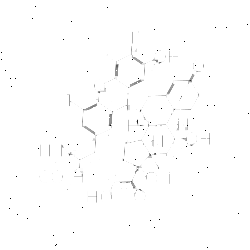 C[C@]12CCC(=O)C=C1CC[C@@H]1[C@@H]2[C@@H](O)C[C@@]2(C)[C@H]1CC[C@]2(O)C(=O)CO.N[C@@H](Cc1cc(I)c(Oc2ccc(O)c(I)c2)c(I)c1)C(=O)O